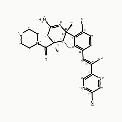 C[C@@H]1[C@@](C)(C(=O)N2CCOCC2)SC(N)=N[C@]1(C)c1cc(/C=C(\F)c2cnc(Cl)cn2)ccc1F